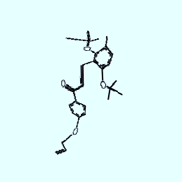 C=CCOc1ccc(C(=O)C=Cc2c(OC(C)(C)C)ccc(C)c2OC(C)(C)C)cc1